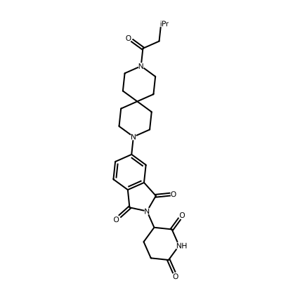 CC(C)CC(=O)N1CCC2(CC1)CCN(c1ccc3c(c1)C(=O)N(C1CCC(=O)NC1=O)C3=O)CC2